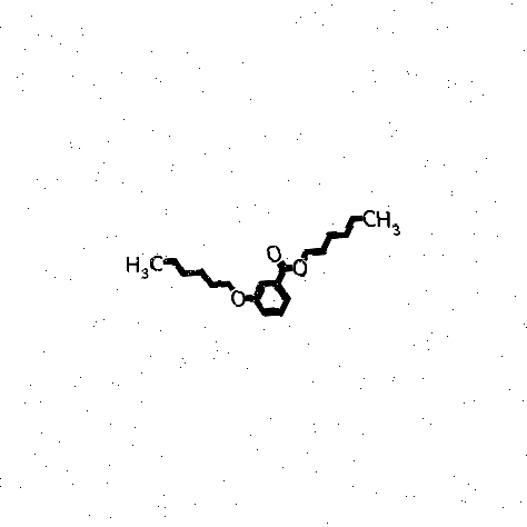 CCCCCCOC(=O)c1cccc(OCCCCCC)c1